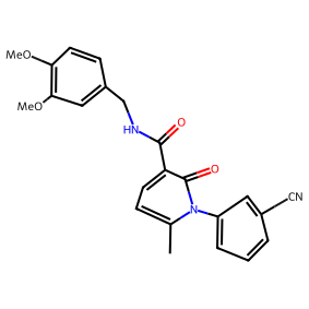 COc1ccc(CNC(=O)c2ccc(C)n(-c3cccc(C#N)c3)c2=O)cc1OC